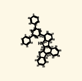 c1ccc(-c2nc(-c3ccccc3)nc(-c3cccc4c3[nH]c3c5sc6ccccc6c5c5ccccc5c43)n2)cc1